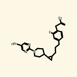 C=C(CC)Cc1ccc(CCCC2CC2C2CCN(c3ncc(CCC)cn3)CC2)cc1F